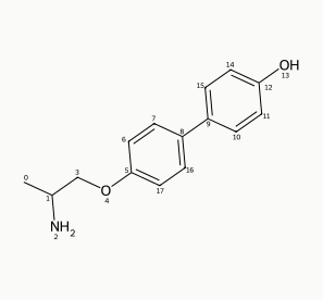 CC(N)COc1ccc(-c2ccc(O)cc2)cc1